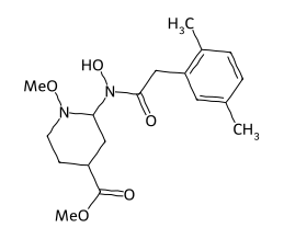 COC(=O)C1CCN(OC)C(N(O)C(=O)Cc2cc(C)ccc2C)C1